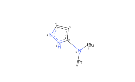 CC(C)N(c1ccn[nH]1)C(C)(C)C